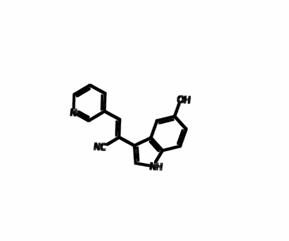 N#CC(=Cc1cccnc1)c1c[nH]c2ccc(O)cc12